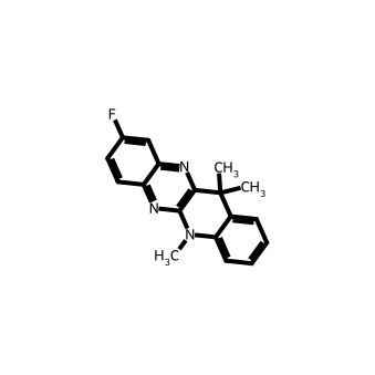 CN1c2ccccc2C(C)(C)c2nc3cc(F)ccc3nc21